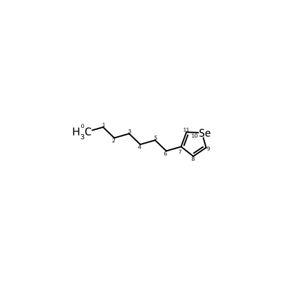 CCCCCCCc1cc[se]c1